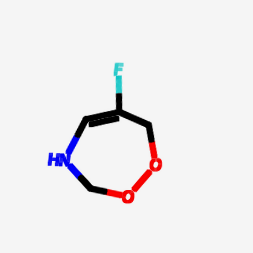 FC1=CNCOOC1